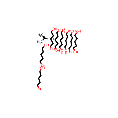 C=C(C)C(=O)O.OCCCCCO.OCCCCCO.OCCCCCO.OCCCCCO.OCCCCCO.OCCCCCO.OCCCCCO.OCCCCCO